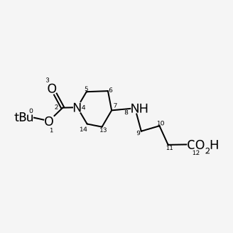 CC(C)(C)OC(=O)N1CCC(NCCCC(=O)O)CC1